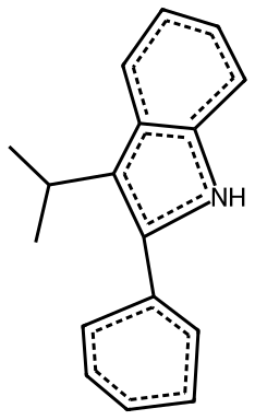 CC(C)c1c(-c2ccccc2)[nH]c2ccccc12